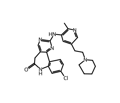 Cc1ncc(CCN2CCCCC2)cc1Nc1ncc2c(n1)-c1ccc(Cl)cc1NC(=O)C2